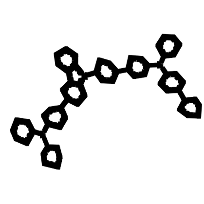 c1ccc(-c2ccc(N(c3ccccc3)c3ccc(-c4ccc(-n5c6ccccc6c6cc(-c7ccc(N(c8ccccc8)c8ccccc8)cc7)ccc65)cc4)cc3)cc2)cc1